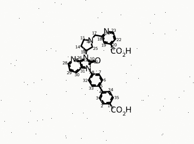 O=C(O)c1ccc(-c2ccc(-n3c(=O)n([C@H]4CCN(Cc5cc(C(=O)O)ccn5)C4)c4ncccc43)cc2)cc1